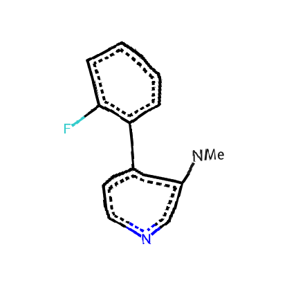 CNc1cnccc1-c1ccccc1F